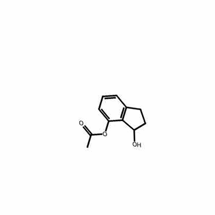 CC(=O)Oc1cccc2c1C(O)CC2